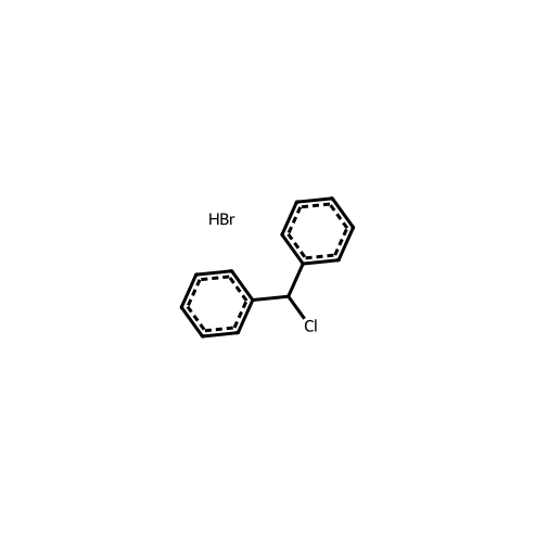 Br.ClC(c1ccccc1)c1ccccc1